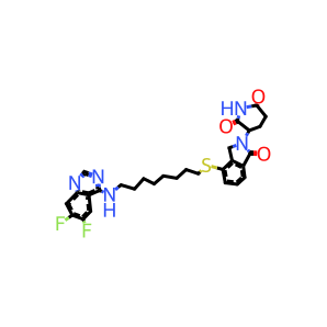 O=C1CCC(N2Cc3c(SCCCCCCCCNc4ncnc5cc(F)c(F)cc45)cccc3C2=O)C(=O)N1